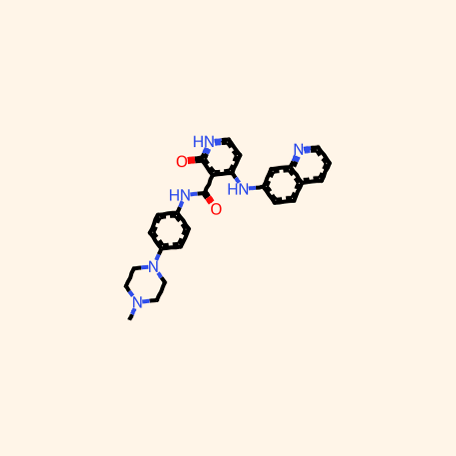 CN1CCN(c2ccc(NC(=O)c3c(Nc4ccc5cccnc5c4)cc[nH]c3=O)cc2)CC1